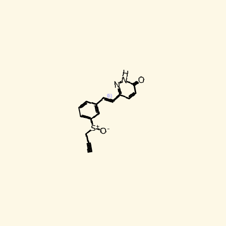 C#CC[S+]([O-])c1cccc(/C=C/c2ccc(=O)[nH]n2)c1